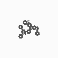 c1ccc(-c2cc(-c3ccccc3)nc(-c3cccc(-n4c5cc6c(cc5c5cc7ccn(-c8ccccc8)c7cc54)sc4ccccc46)c3)c2)cc1